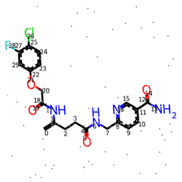 C=C(CCC(=O)NCc1ccc(C(N)=O)cn1)NC(=O)COc1ccc(Cl)c(F)c1